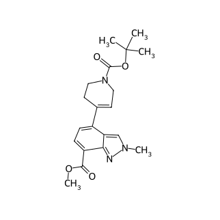 COC(=O)c1ccc(C2=CCN(C(=O)OC(C)(C)C)CC2)c2cn(C)nc12